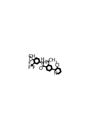 CNc1cc(-c2ncccc2Cl)ccc1C(=O)Nc1ccc(OC)c(C(F)(F)F)c1